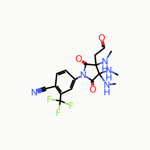 CNC1(CC=O)C(=O)N(c2ccc(C#N)c(C(F)(F)F)c2)C(=O)C1(NC)NC